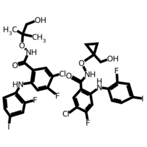 CC(C)(CO)ONC(=O)c1cc(Cl)c(F)cc1Nc1ccc(I)cc1F.O=C(NOC1(CO)CC1)c1cc(Cl)c(F)cc1Nc1ccc(I)cc1F